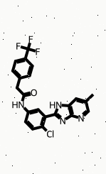 Cc1cnc2nc(-c3cc(NC(=O)Cc4ccc(C(F)(F)F)cc4)ccc3Cl)[nH]c2c1